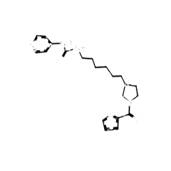 O=C(NCCCCCCC1CCN(C(=O)c2cccs2)C1)Nc1ccncc1